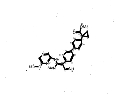 CN/C(Nc1cncc(OC(C)(C)C)n1)=C(\C=N)c1ccc(-c2ccc(C3(C(=O)OC)CC3)cc2)cn1